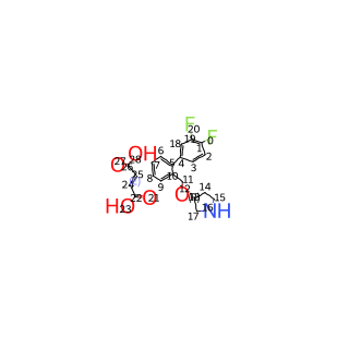 Fc1ccc(-c2ccccc2CO[C@@H]2CCNC2)cc1F.O=C(O)/C=C/C(=O)O